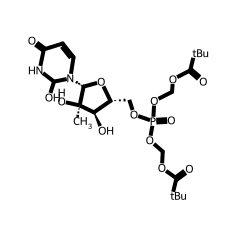 CC(C)(C)C(=O)OCOP(=O)(OCOC(=O)C(C)(C)C)OC[C@H]1O[C@@H](N2C=CC(=O)NC2O)[C@](C)(O)[C@@H]1O